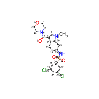 Cn1cc(C(=O)N2CCOCC2)c2ccc(NS(=O)(=O)c3cc(Cl)cc(Cl)c3)cc21